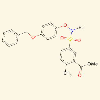 CCN(Oc1ccc(OCc2ccccc2)cc1)S(=O)(=O)c1ccc(C)c(C(=O)OC)c1